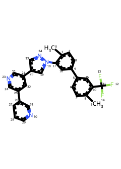 Cc1ccc(-c2ccc(C)c(C(F)(F)F)c2)cc1-n1cc(-c2cncc(-c3cccnc3)c2)cn1